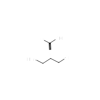 CC(=O)O.CCC[CH2][SnH]